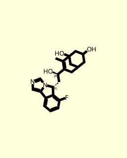 CC1=C([C@H](O)C[C@@H]2c3c(F)cccc3-c3cncn32)CC2CC(O)CC1(O)C2